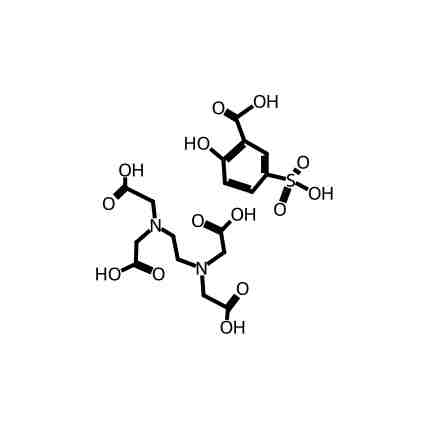 O=C(O)CN(CCN(CC(=O)O)CC(=O)O)CC(=O)O.O=C(O)c1cc(S(=O)(=O)O)ccc1O